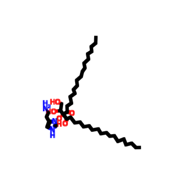 CCCCCCCCCCCCCCCCCC(=O)C(O)(C(=O)CCCCCCCCCCCCCCCCC)C(O)CO.NCCc1c[nH]cn1